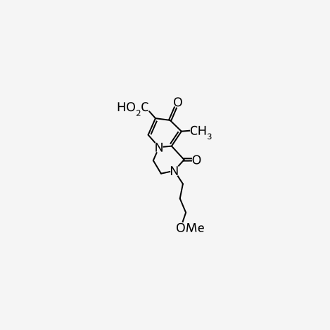 COCCCN1CCn2cc(C(=O)O)c(=O)c(C)c2C1=O